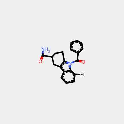 CCc1cccc2c3c(n(C(=O)c4ccccc4)c12)CCC(C(N)=O)C3